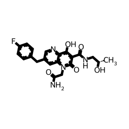 C[C@H](O)CNC(=O)c1c(O)c2ncc(Cc3ccc(F)cc3)cc2n(CC(N)=O)c1=O